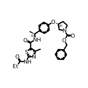 CCC(=O)Nc1nc(C)c(C(=O)N[C@@H](C)c2ccc(O[C@@H]3CCN(C(=O)OCc4ccccc4)C3)cc2)s1